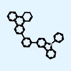 C1=Cc2c(c3ccccc3c3ccc(-c4cccc(-c5ccc6c(c5)c5ccccc5n6-c5ccccc5)c4)cc23)CC1